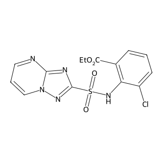 CCOC(=O)c1cccc(Cl)c1NS(=O)(=O)c1nc2ncccn2n1